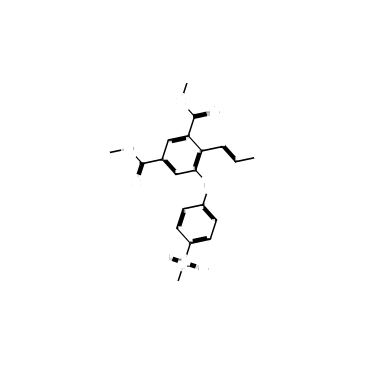 CC=Cc1c(Oc2ccc(S(C)(=O)=O)cc2)cc(C(=O)OC)cc1C(=O)OC